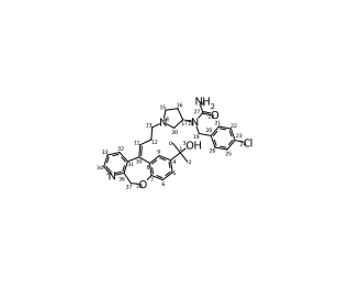 CC(C)(O)c1ccc2c(c1)C(=CCCN1CC[C@@H](N(Cc3ccc(Cl)cc3)C(N)=O)C1)c1cccnc1CO2